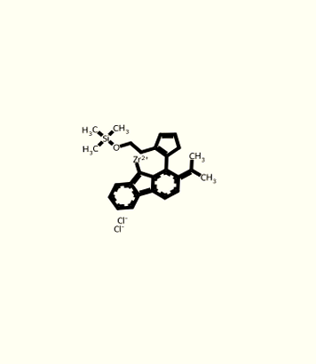 CC(C)=c1ccc2c(c1C1=C(CCO[Si](C)(C)C)C=CC1)[C]([Zr+2])=c1ccccc1=2.[Cl-].[Cl-]